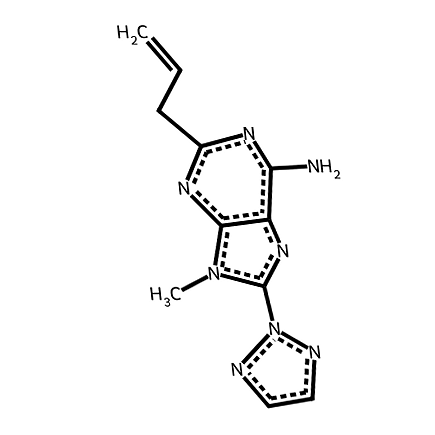 C=CCc1nc(N)c2nc(-n3nccn3)n(C)c2n1